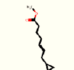 COC(=O)CCCC=CCC1[CH]C1